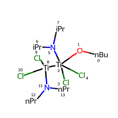 CCCC[O][Ti]([Cl])([Cl])([N](C(C)C)C(C)C)[Ti]([Cl])([Cl])[N](CCC)CCC